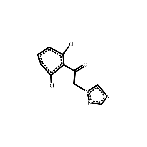 O=C(Cn1cncn1)c1c(Cl)cccc1Cl